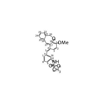 COc1cc/c(=C\c2cccc(NS(C)(=O)=O)c2)c2c1OCc1ccccc1C=2